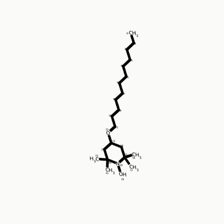 CCCCCCCCCCCCOC1CC(C)(C)N(O)C(C)(C)C1